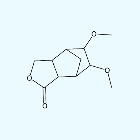 COC1C2CC(C1OC)C1C(=O)OCC21